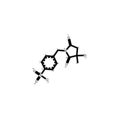 CCC1(C)CC(=O)N(Cc2ccc(S(=O)(=O)Cl)cc2)C1=O